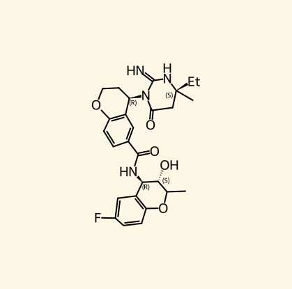 CC[C@@]1(C)CC(=O)N([C@@H]2CCOc3ccc(C(=O)N[C@@H]4c5cc(F)ccc5OC(C)[C@H]4O)cc32)C(=N)N1